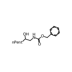 CCCCCC(O)CNC(=O)OCc1ccccc1